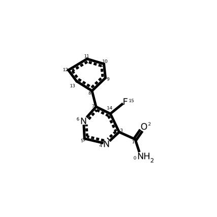 NC(=O)c1n[c]nc(-c2ccccc2)c1F